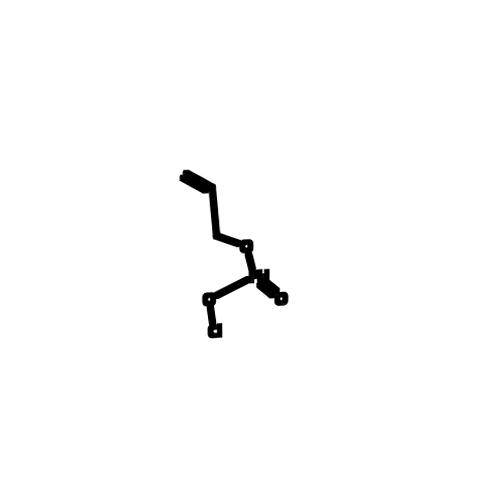 C=CCO[PH](=O)OCl